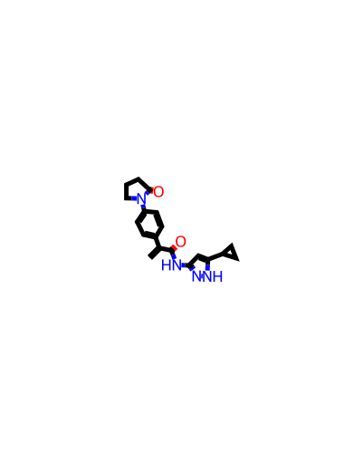 C=C(C(=O)Nc1cc(C2CC2)[nH]n1)c1ccc(N2CCCC2=O)cc1